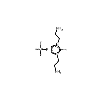 Cc1n(CCN)cc[n+]1CCN.F[B-](F)(F)F